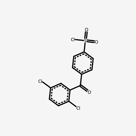 O=C(c1ccc(S(=O)(=O)Cl)cc1)c1cc(Cl)ccc1Cl